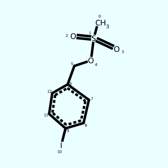 CS(=O)(=O)OCc1ccc(I)cc1